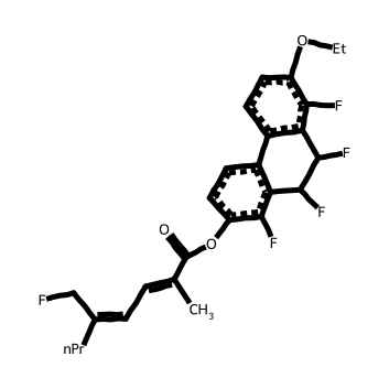 CCC/C(=C/C=C(\C)C(=O)Oc1ccc2c(c1F)C(F)C(F)c1c-2ccc(OCC)c1F)CF